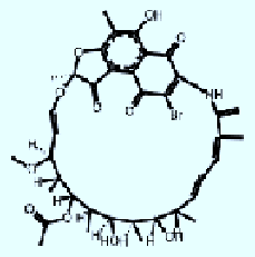 C=C1NC2=C(Br)C(=O)c3c(c(O)c(C)c4c3C(=O)[C@@](C)(O/C=C/[C@H](OC)[C@@H](C)[C@@H](OC(C)=O)[C@H](C)[C@H](O)[C@H](C)[C@@H](O)[C@@H](C)/C=C/C=C\1C)O4)C2=O